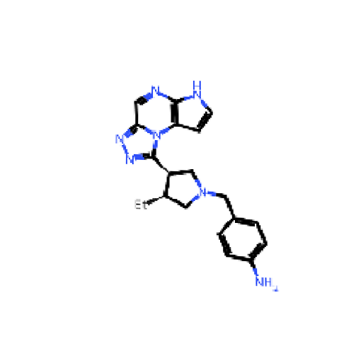 CC[C@@H]1CN(Cc2ccc(N)cc2)C[C@@H]1c1nnc2cnc3[nH]ccc3n12